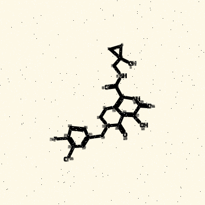 O=C(NCC1(O)CC1)c1[nH]c(=O)c(O)c2c1CCN(Cc1ccc(F)c(Cl)c1)C2=O